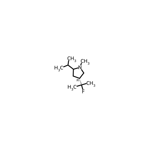 CC(C)C1C[C@@H](C(C)(C)F)CN1C